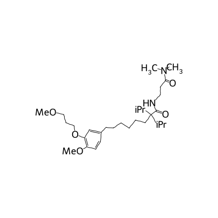 COCCCOc1cc(CCCCCCC(C(=O)NCCC(=O)N(C)C)(C(C)C)C(C)C)ccc1OC